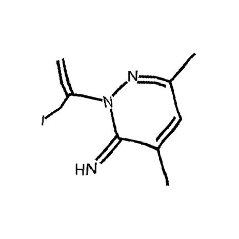 C=C(I)n1nc(C)cc(C)c1=N